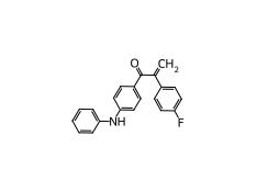 C=C(C(=O)c1ccc(Nc2ccccc2)cc1)c1ccc(F)cc1